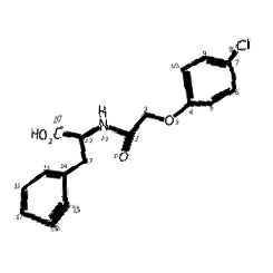 O=C(COc1ccc(Cl)cc1)NC(Cc1ccccc1)C(=O)O